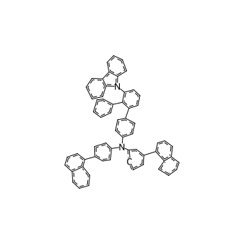 c1ccc(-c2c(-c3ccc(N(c4ccc(-c5cccc6ccccc56)cc4)c4cccc(-c5cccc6ccccc56)c4)cc3)cccc2-n2c3ccccc3c3ccccc32)cc1